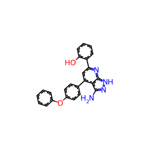 Nc1n[nH]c2nc(-c3ccccc3O)cc(-c3ccc(Oc4ccccc4)cc3)c12